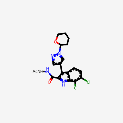 CC(=O)NNC(=O)c1[nH]c2c(Cl)c(Cl)ccc2c1-c1cnn(C2CCCCO2)c1